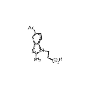 CC(=O)c1ccc2c(c1)nc(N)n2CCC(=O)O